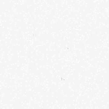 Oc1ccc(C2SCCC2NCc2ccc(Br)cc2)cc1